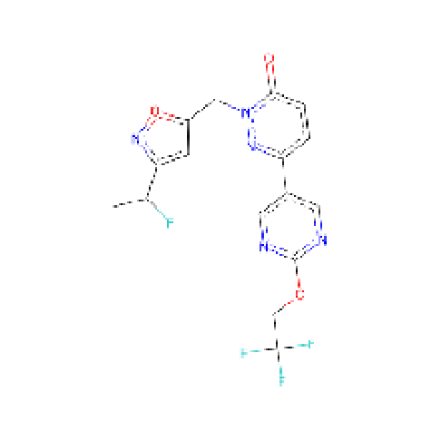 CC(F)c1cc(Cn2nc(-c3cnc(OCC(F)(F)F)nc3)ccc2=O)on1